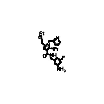 CCOCCc1cc(C(=O)NCc2cc(N)cc(F)c2)c(C(C)C)n1Cc1cccnc1